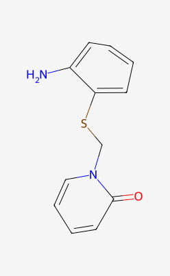 Nc1ccccc1SCn1ccccc1=O